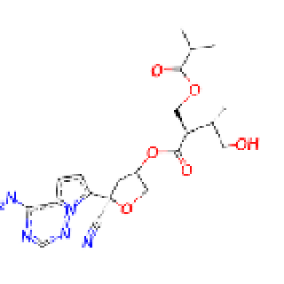 CC(C)C(=O)OC[C@H](C(=O)OC1CO[C@@](C#N)(c2ccc3c(N)ncnn23)C1)[C@H](C)CO